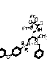 CC(C)OP(=O)(OC(C)C)C(=O)NC[C@@H](CNS(=O)(=O)c1ccc(Oc2ccccc2)cc1)N(C)OCc1ccccc1